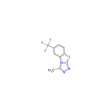 Cc1nnc2sc3ccc(C(F)(F)F)cc3n12